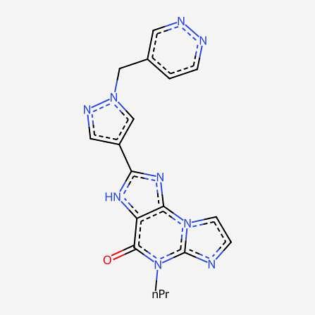 CCCn1c(=O)c2[nH]c(-c3cnn(Cc4ccnnc4)c3)nc2n2ccnc12